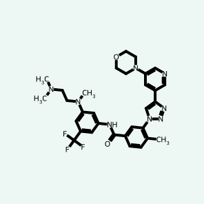 Cc1ccc(C(=O)Nc2cc(N(C)CCN(C)C)cc(C(F)(F)F)c2)cc1-n1cc(-c2cncc(N3CCOCC3)c2)nn1